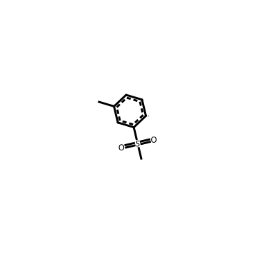 Cc1cc[c]c(S(C)(=O)=O)c1